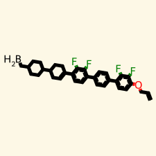 BCC1CCC(C2CC=C(c3ccc(-c4ccc(-c5ccc(OCC=C)c(F)c5F)cc4)c(F)c3F)CC2)CC1